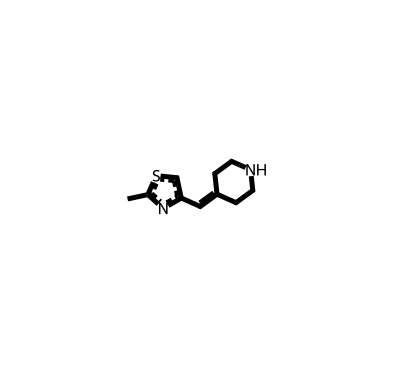 Cc1nc(C=C2CCNCC2)cs1